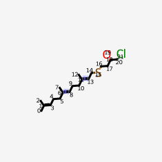 CC(C)=CCC/C(C)=C/CC/C(C)=C/CSCCC(=O)CCl